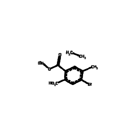 CC.CCc1cc(C(=O)O)c(C(=O)OC(C)(C)C)cc1C